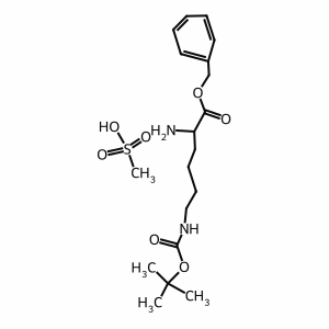 CC(C)(C)OC(=O)NCCCCC(N)C(=O)OCc1ccccc1.CS(=O)(=O)O